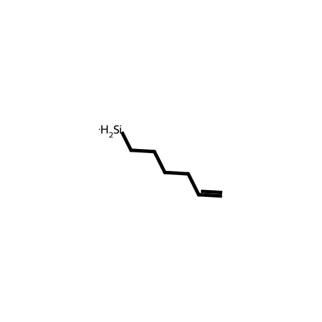 C=CCCCC[SiH2]